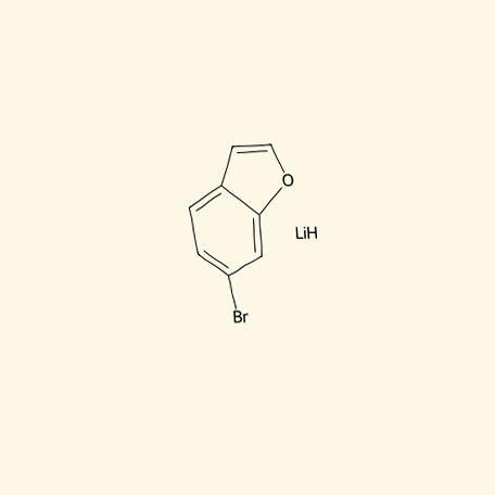 Brc1ccc2ccoc2c1.[LiH]